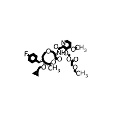 CCOCC(=O)OCOc1c(OC)ccnc1C(=O)N[C@H]1COCC[C@H](Cc2ccc(F)cc2)[C@@H](OCC2CC2)[C@H](C)OC1=O